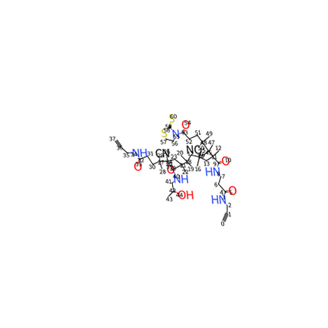 C#CCNC(=O)CCNC(=O)C(C)(CC(C)(C)CC(C)(C)C(C)(CC(C)(C)C(C)(C#N)CCC(=O)NCC#C)C(=O)NCC(C)O)C(C)(C)C(C)(C#N)CCC(=O)N1CCSC1=S